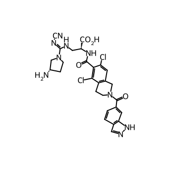 N#C/N=C(\NC[C@H](NC(=O)c1c(Cl)cc2c(c1Cl)CCN(C(=O)c1ccc3cn[nH]c3c1)C2)C(=O)O)N1CC[C@H](N)C1